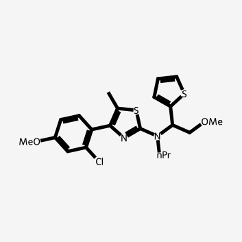 CCCN(c1nc(-c2ccc(OC)cc2Cl)c(C)s1)C(COC)c1cccs1